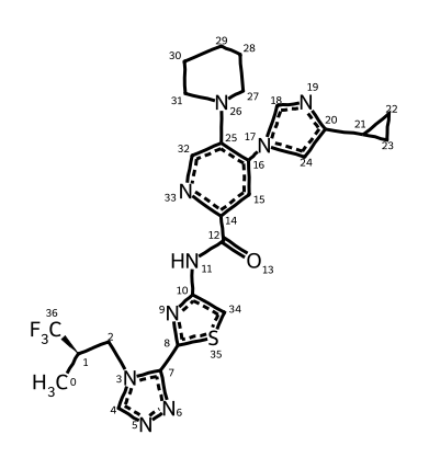 C[C@H](Cn1cnnc1-c1nc(NC(=O)c2cc(-n3cnc(C4CC4)c3)c(N3CCCCC3)cn2)cs1)C(F)(F)F